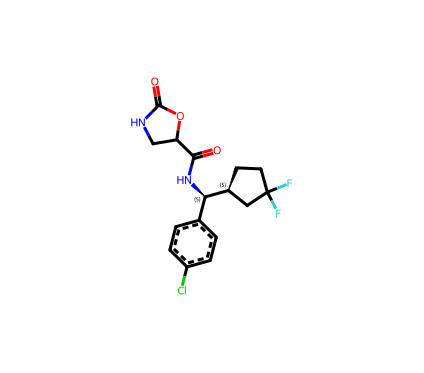 O=C1NCC(C(=O)N[C@H](c2ccc(Cl)cc2)[C@H]2CCC(F)(F)C2)O1